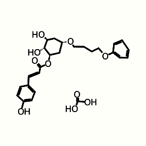 O=C(/C=C/c1ccc(O)cc1)O[C@@H]1C[C@@H](OCCCCOc2ccccc2)C[C@H](O)[C@H]1O.O=C(O)O